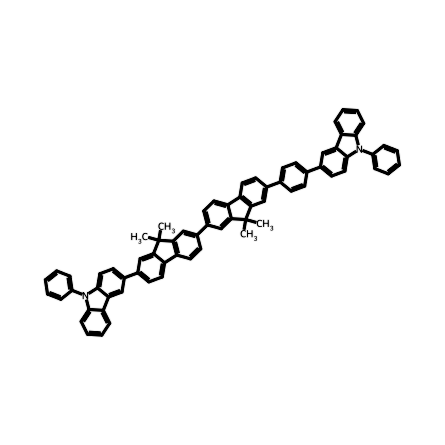 CC1(C)c2cc(-c3ccc(-c4ccc5c(c4)c4ccccc4n5-c4ccccc4)cc3)ccc2-c2ccc(-c3ccc4c(c3)C(C)(C)c3cc(-c5ccc6c(c5)c5ccccc5n6-c5ccccc5)ccc3-4)cc21